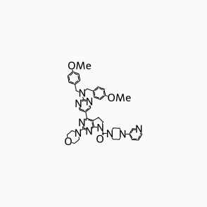 COc1ccc(CN(Cc2ccc(OC)cc2)c2ncc(-c3nc(N4CCOCC4)nc4c3CCN4C(=O)N3CCN(c4cccnc4)CC3)cn2)cc1